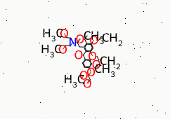 C=CCOc1cc(OCC=C)c(C(=O)c2ccc(OC(C=O)OC)c(OC)c2)c(CC(=O)N(CCOC)CCOC)c1CC